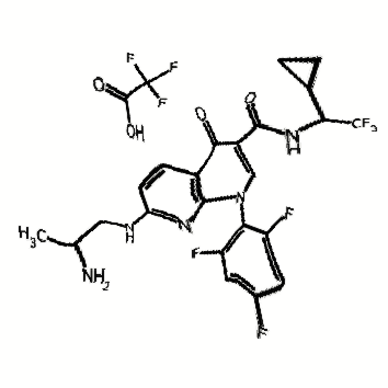 CC(N)CNc1ccc2c(=O)c(C(=O)NC(C3CC3)C(F)(F)F)cn(-c3c(F)cc(F)cc3F)c2n1.O=C(O)C(F)(F)F